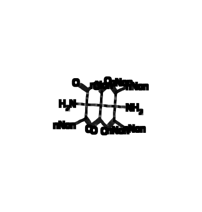 CCCCCCCCCC(=O)C(N)(C(=O)CCCCCCCCC)C(C(=O)CCCCCCCCC)(C(=O)CCCCCCCCC)C(N)(C(=O)CCCCCCCCC)C(=O)CCCCCCCCC